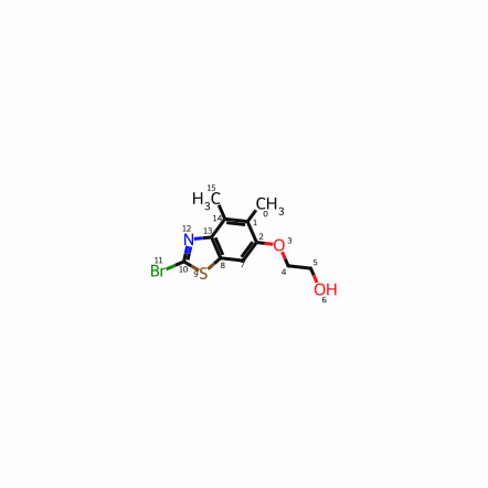 Cc1c(OCCO)cc2sc(Br)nc2c1C